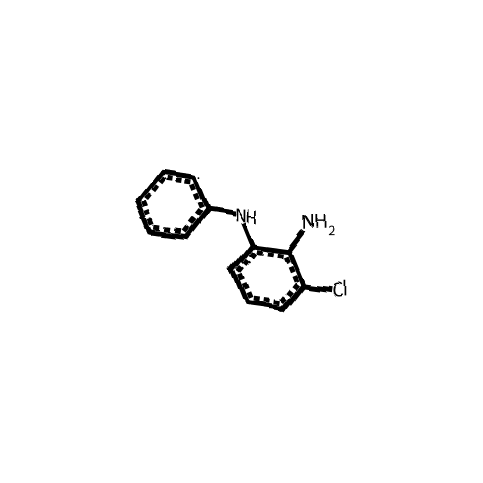 Nc1c(Cl)cccc1Nc1[c]cccc1